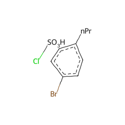 CCCc1ccc(Br)cc1.O=S(=O)(O)Cl